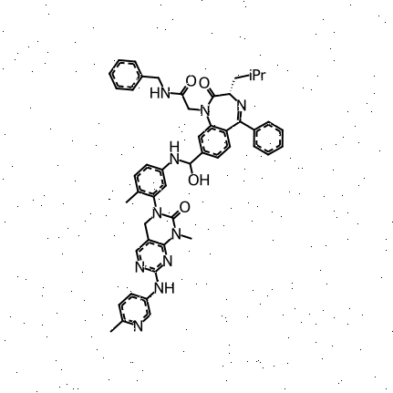 Cc1ccc(Nc2ncc3c(n2)N(C)C(=O)N(c2cc(NC(O)c4ccc5c(c4)N(CC(=O)NCc4ccccc4)C(=O)[C@H](CC(C)C)N=C5c4ccccc4)ccc2C)C3)cn1